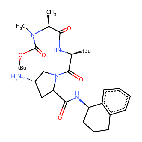 C[C@@H](C(=O)N[C@H](C(=O)N1C[C@@H](N)CC1C(=O)N[C@@H]1CCCc2ccccc21)C(C)(C)C)N(C)C(=O)OC(C)(C)C